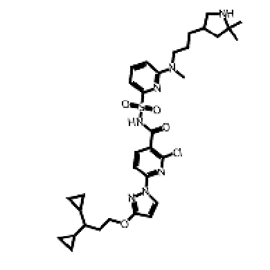 CN(CCCC1CNC(C)(C)C1)c1cccc(S(=O)(=O)NC(=O)c2ccc(-n3ccc(OCCC(C4CC4)C4CC4)n3)nc2Cl)n1